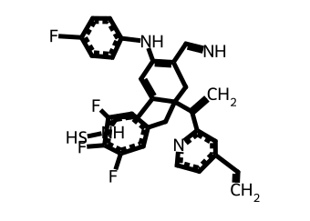 C=Cc1ccnc(C(=C)C2(Cc3cc(F)c(F)c(F)c3)CC(C=N)=C(Nc3ccc(F)cc3)C=C2CCNS)c1